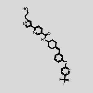 O=C(NC1CCC(=Cc2cccc(Oc3ccc(C(F)(F)F)cn3)c2)CC1)c1ccc(-c2cnn(CCO)c2)nc1